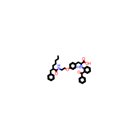 CCCCCC(Cc1ccccc1)C(=O)NCCOc1ccc(CC(Nc2ccccc2C(=O)c2ccccc2)C(=O)O)cc1